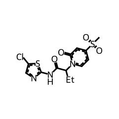 CCC(C(=O)Nc1ncc(Cl)s1)n1ccc(S(C)(=O)=O)cc1=O